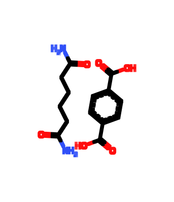 NC(=O)CCCCC(N)=O.O=C(O)c1ccc(C(=O)O)cc1